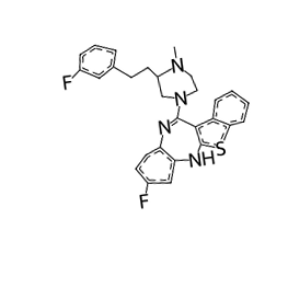 CN1CCN(C2=Nc3ccc(F)cc3Nc3sc4ccccc4c32)CC1CCc1cccc(F)c1